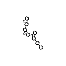 c1ccc(-c2ccc(-c3ccc4c(c3)c3ccccc3n4-c3ccc4oc5ccc(-c6ccc7c(c6)oc6ccccc67)cc5c4c3)cc2)cc1